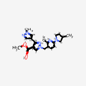 COC(=O)c1cn(Cc2ccc(N3CCC(C)C3)nc2C)nc1-c1cnn(C)c1